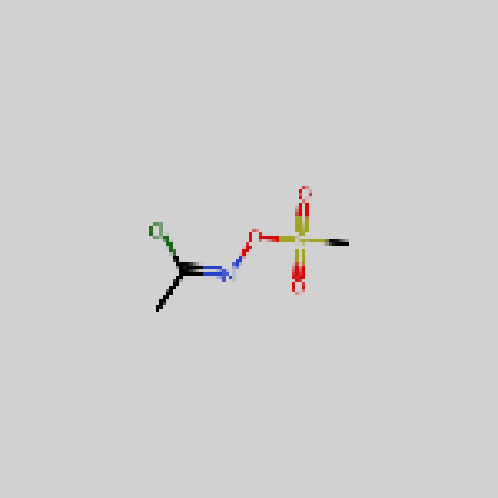 CC(Cl)=NOS(C)(=O)=O